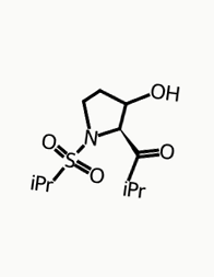 CC(C)C(=O)[C@@H]1C(O)CCN1S(=O)(=O)C(C)C